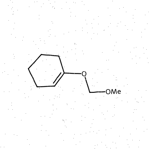 COCOC1=CCCCC1